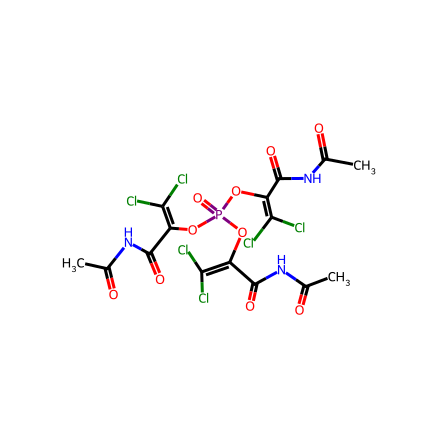 CC(=O)NC(=O)C(OP(=O)(OC(C(=O)NC(C)=O)=C(Cl)Cl)OC(C(=O)NC(C)=O)=C(Cl)Cl)=C(Cl)Cl